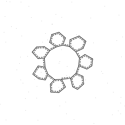 c1ccc2c(c1)c1ccccc1c1ccccc1c1ccccc1c1ccccc1c1ccccc1c1ccccc21